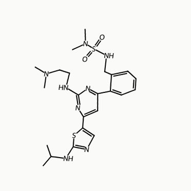 CC(C)Nc1ncc(-c2cc(-c3ccccc3CNS(=O)(=O)N(C)C)nc(NCCN(C)C)n2)s1